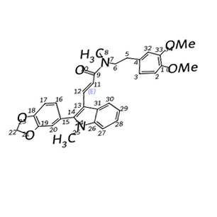 COc1ccc(CCN(C)C(=O)/C=C/c2c(-c3ccc4c(c3)OCO4)n(C)c3ccccc23)cc1OC